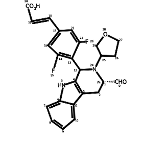 O=C[C@@H]1Cc2c([nH]c3ccccc23)C(c2c(F)cc(C=CC(=O)O)cc2F)N1C1CCOC1